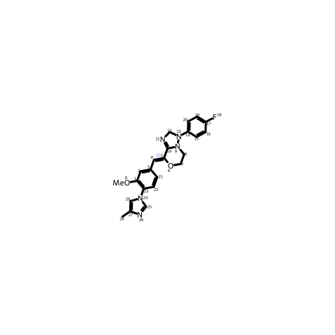 COc1cc(/C=C2\OCCN3C2=NCN3c2ccc(F)cc2)ccc1-n1cnc(C)c1